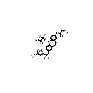 CC(C)CCN(C)Cc1ccc2c(c1)CCc1cc(OC(N)=O)ccc1O2.O=C(O)C(F)(F)F